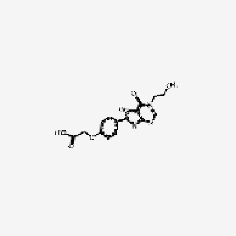 CCCn1cnc2nc(-c3ccc(OCC(=O)O)cc3)[nH]c2c1=O